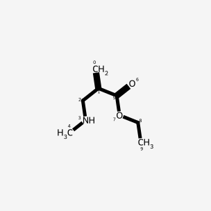 C=C(CNC)C(=O)OCC